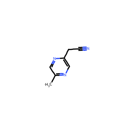 [CH2]c1cnc(CC#N)cn1